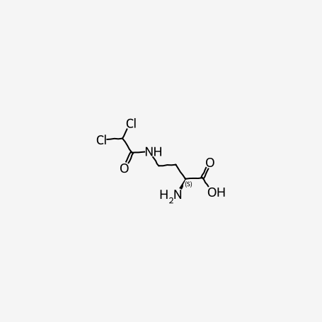 N[C@@H](CCNC(=O)C(Cl)Cl)C(=O)O